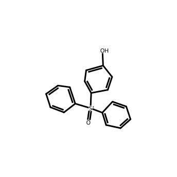 O=[S+](c1ccccc1)(c1ccccc1)c1ccc(O)cc1